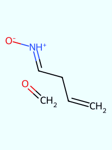 C=CCC=[NH+][O-].C=O